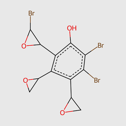 Oc1c(Br)c(Br)c(C2CO2)c(C2CO2)c1C1OC1Br